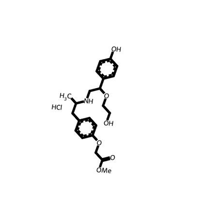 COC(=O)COc1ccc(CC(C)NCC(OCCO)c2ccc(O)cc2)cc1.Cl